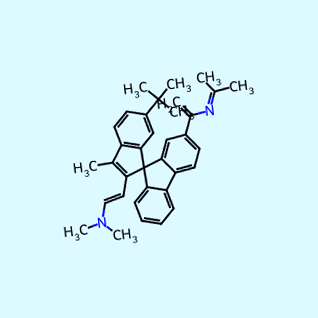 C=C(N=C(C)C)c1ccc2c(c1)C1(C(/C=C/N(C)C)=C(C)c3ccc(C(C)(C)C)cc31)c1ccccc1-2